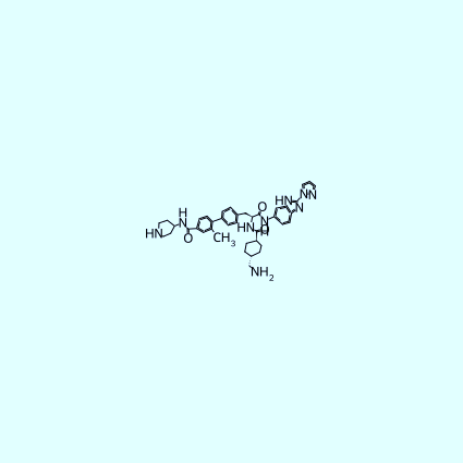 Cc1cc(C(=O)NC2CCNCC2)ccc1-c1ccc(C[C@H](NC(=O)[C@H]2CC[C@H](CN)CC2)C(=O)Nc2ccc3nc(-n4cccn4)[nH]c3c2)cc1